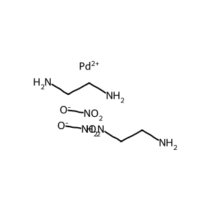 NCCN.NCCN.O=[N+]([O-])[O-].O=[N+]([O-])[O-].[Pd+2]